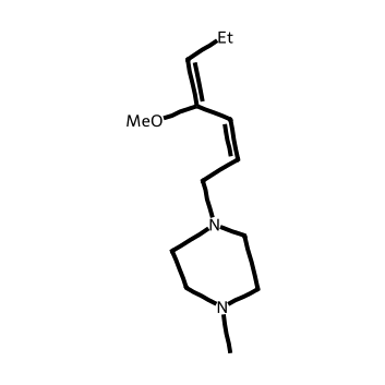 CC/C=C(\C=C/CN1CCN(C)CC1)OC